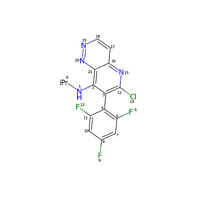 CC(C)Nc1c(-c2c(F)cc(F)cc2F)c(Cl)nc2ccnnc12